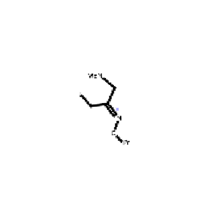 CNC/C(CI)=N/OC(C)C